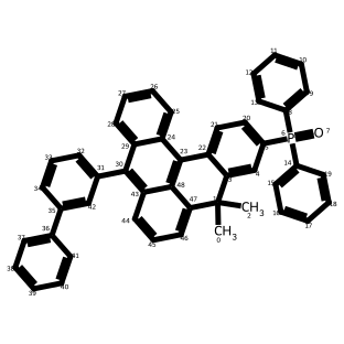 CC1(C)c2cc(P(=O)(c3ccccc3)c3ccccc3)ccc2-c2c3ccccc3c(-c3cccc(-c4ccccc4)c3)c3cccc1c23